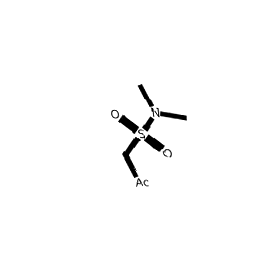 CC(=O)CS(=O)(=O)N(C)C